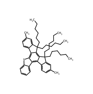 CCCCCCC1(CCCCCC)c2cc(C)ccc2-c2c1c1c(c3c2sc2ccccc23)-c2ccc(C)cc2C1(CCCCCC)CCCCCC